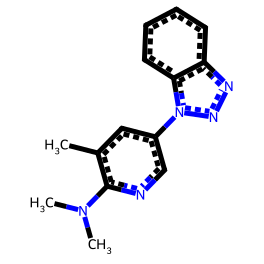 Cc1cc(-n2nnc3ccccc32)cnc1N(C)C